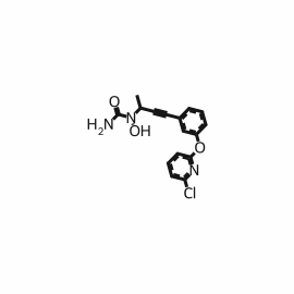 CC(C#Cc1cccc(Oc2cccc(Cl)n2)c1)N(O)C(N)=O